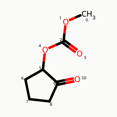 COC(=O)OC1CCCC1=O